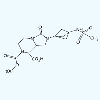 CC(C)(C)OC(=O)N1CCN2C(=O)N(C34CC(NS(C)(=O)=O)(C3)C4)CC2C1C(=O)O